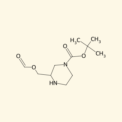 CC(C)(C)OC(=O)N1CCNC(COC=O)C1